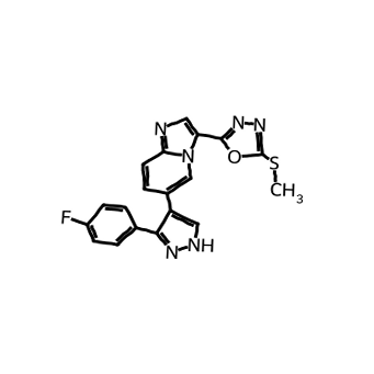 CSc1nnc(-c2cnc3ccc(-c4c[nH]nc4-c4ccc(F)cc4)cn23)o1